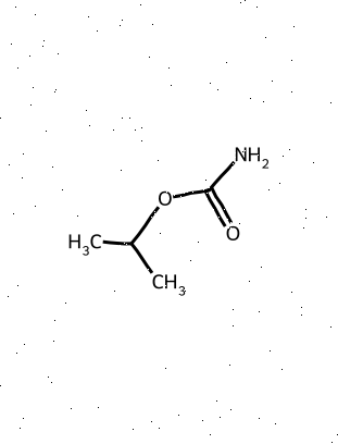 CC(C)OC(N)=O